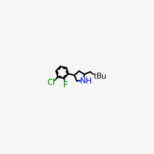 CC(C)(C)CC1CC(c2cccc(Cl)c2F)CN1